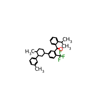 Cc1cccc(C2CC(c3ccc(C(F)(F)F)c(C(=O)c4ccccc4C(C)C)c3)CCC2C)c1